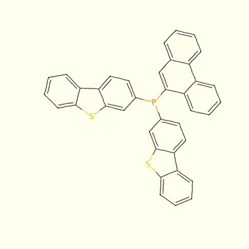 c1ccc2c(c1)cc(P(c1ccc3c(c1)sc1ccccc13)c1ccc3c(c1)sc1ccccc13)c1ccccc12